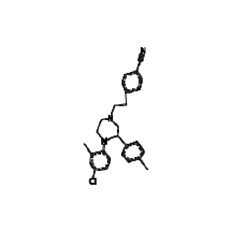 Cc1ccc(C2CN(CCc3ccc(C#N)cc3)CCN2c2ccc(Cl)cc2C)cc1